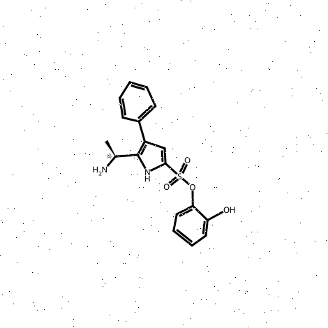 C[C@H](N)c1[nH]c(S(=O)(=O)Oc2ccccc2O)cc1-c1ccccc1